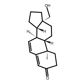 C[C@]12CCC(=O)C=C1C=C[C@H]1[C@@H]3CCC[C@@]3(CO)CC[C@@H]12